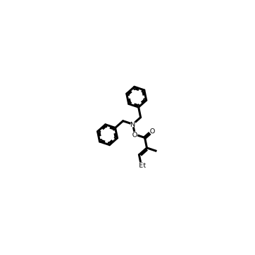 CCC=C(C)C(=O)ON(Cc1ccccc1)Cc1ccccc1